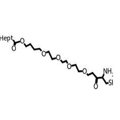 CCCCCCCC(=O)OCCCCOCCOCCOCCOCCC(=O)C(N)CS